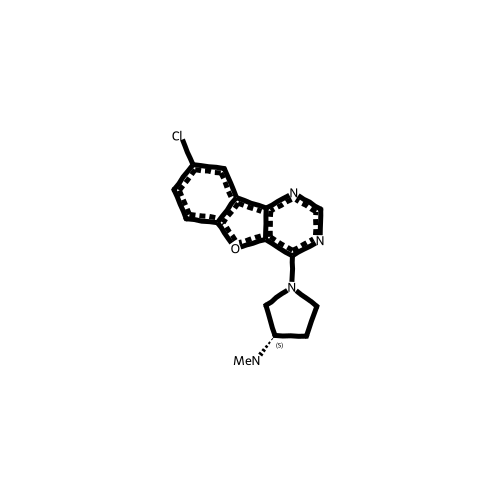 CN[C@H]1CCN(c2ncnc3c2oc2ccc(Cl)cc23)C1